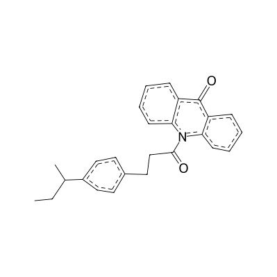 CCC(C)c1ccc(CCC(=O)n2c3ccccc3c(=O)c3ccccc32)cc1